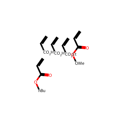 C=CC(=O)O.C=CC(=O)O.C=CC(=O)OCC.C=CC(=O)OCCCC.C=CC(=O)OOC